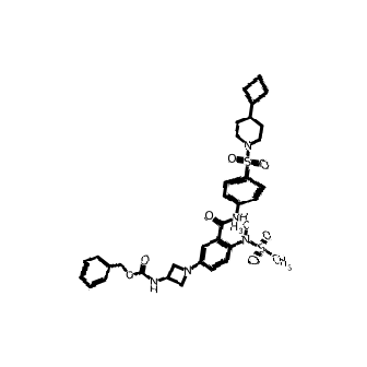 CN(c1ccc(N2CC(NC(=O)OCc3ccccc3)C2)cc1C(=O)Nc1ccc(S(=O)(=O)N2CCC(C3CCC3)CC2)cc1)S(C)(=O)=O